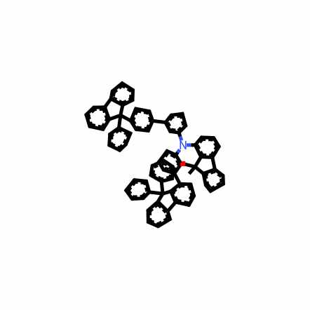 CC1(C)c2ccccc2-c2cccc(N(c3cccc(-c4ccc(C5(c6ccccc6)c6ccccc6-c6ccccc65)cc4)c3)c3cccc(-c4cccc5c4C(c4ccccc4)(c4ccccc4)c4ccccc4-5)c3)c21